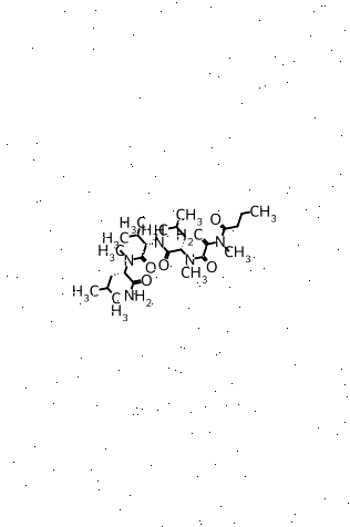 C=C(C(=O)N(C)[C@@H](CC(C)C)C(=O)N[C@H](C(=O)N(C)[C@@H](CC(C)C)C(N)=O)C(C)C)N(C)C(=O)CCC